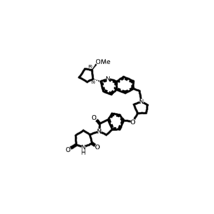 CO[C@@H]1CCC[C@H]1c1ccc2cc(CN3CCC(Oc4ccc5c(c4)CN(C4CCC(=O)NC4=O)C5=O)C3)ccc2n1